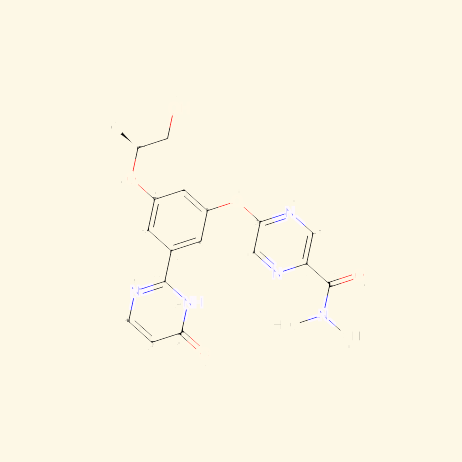 C[C@@H](CO)Oc1cc(Oc2cnc(C(=O)N(C)C)cn2)cc(-c2nccc(=O)[nH]2)c1